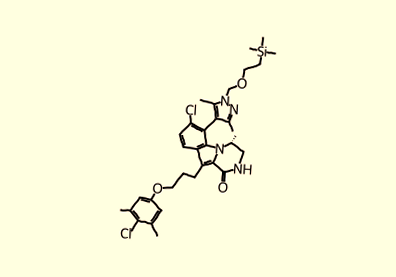 Cc1cc(OCCCc2c3n(c4c(-c5c(C)nn(COCC[Si](C)(C)C)c5C)c(Cl)ccc24)[C@H](C)CNC3=O)cc(C)c1Cl